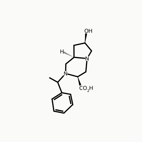 CC(c1ccccc1)N1C[C@H]2C[C@@H](O)CN2C[C@H]1C(=O)O